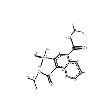 CC(C)OC(=O)c1cc([Si](C)(C)C)c(C(=O)OC(C)C)c2ccccc12